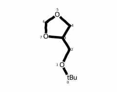 CC(C)(C)OCC1CO[CH]O1